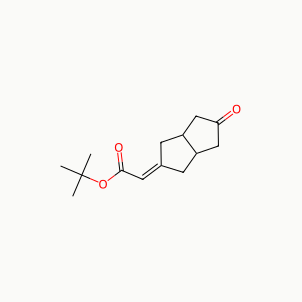 CC(C)(C)OC(=O)C=C1CC2CC(=O)CC2C1